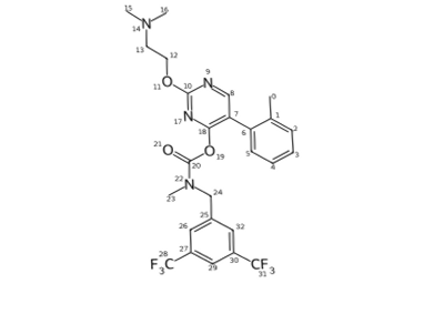 Cc1ccccc1-c1cnc(OCCN(C)C)nc1OC(=O)N(C)Cc1cc(C(F)(F)F)cc(C(F)(F)F)c1